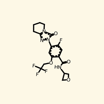 O=C(NC1COC1)c1cc(F)c(-n2nc3n(c2=O)CCCC3)cc1OCC(F)(F)F